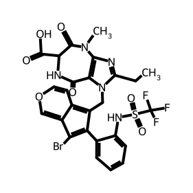 CCc1nc2c(n1Cc1c3ccocc-3c(Br)c1-c1ccccc1NS(=O)(=O)C(F)(F)F)C(=O)NC(C(=O)O)C(=O)N2C